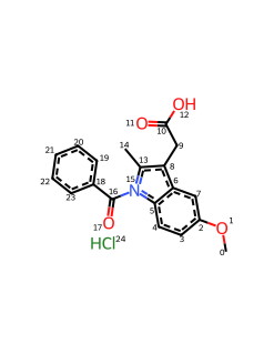 COc1ccc2c(c1)c(CC(=O)O)c(C)n2C(=O)c1ccccc1.Cl